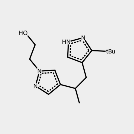 CC(Cc1c[nH]nc1C(C)(C)C)c1cnn(CCO)c1